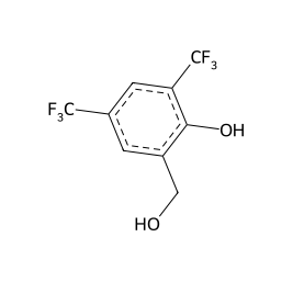 OCc1cc(C(F)(F)F)cc(C(F)(F)F)c1O